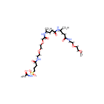 CCCC(=O)NS(=O)(=O)CCCC(=O)NCCOCCOCC(=O)NC(CCC(=O)NC(CCC(=O)NCCOCCOCC)C(=O)O)C(=O)O